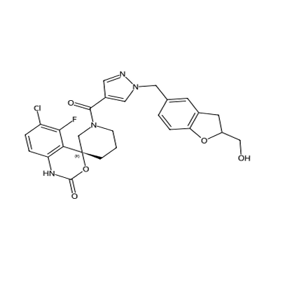 O=C1Nc2ccc(Cl)c(F)c2[C@@]2(CCCN(C(=O)c3cnn(Cc4ccc5c(c4)CC(CO)O5)c3)C2)O1